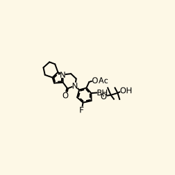 CC(=O)OCc1c(BOC(C)(C)C(C)(C)O)cc(F)cc1N1CCn2c(cc3c2CCCC3)C1=O